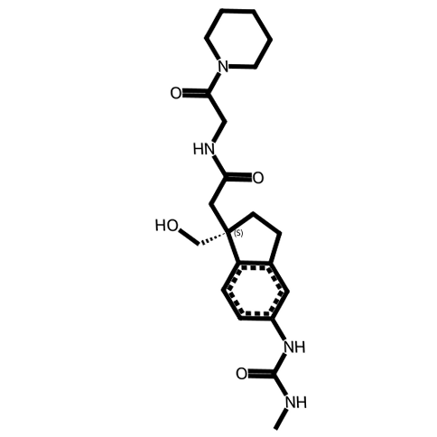 CNC(=O)Nc1ccc2c(c1)CC[C@]2(CO)CC(=O)NCC(=O)N1CCCCC1